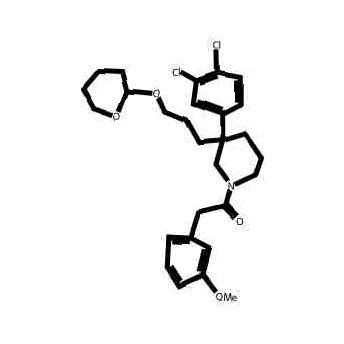 COc1cccc(CC(=O)N2CCCC(CCCOC3CCCCO3)(c3ccc(Cl)c(Cl)c3)C2)c1